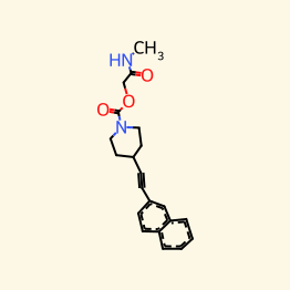 CNC(=O)COC(=O)N1CCC(C#Cc2ccc3ccccc3c2)CC1